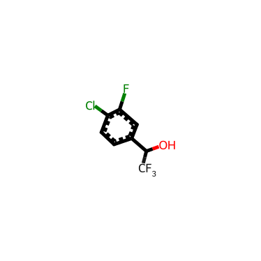 OC(c1ccc(Cl)c(F)c1)C(F)(F)F